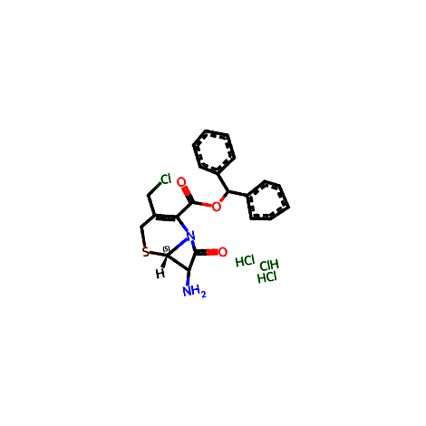 Cl.Cl.Cl.NC1C(=O)N2C(C(=O)OC(c3ccccc3)c3ccccc3)=C(CCl)CS[C@@H]12